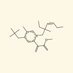 C=C(OC)C(=C)c1cc(CC(C)(C)C)c(C)c[n+]1CC(C)(/C=C\CC)CC